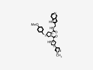 COc1ccc(C[C@@H]2C[C@@H](C(=O)NCc3cc4cnccc4[nH]3)N(C(=O)[C@H]3C[C@@H](c4cnn(C)c4)CN3)C2)cc1